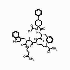 CCCC(=O)N[C@]1(C(=O)N[C@H](Cc2ccccc2)C(=O)N[C@@H](CCCNC(=N)N)C(=O)N[C@@H](Cc2c[nH]c3ccccc23)C(=O)NCCC(N)=O)CC[C@H](c2ccccc2)CC1